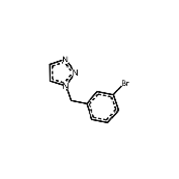 Brc1cccc(Cn2ccnn2)c1